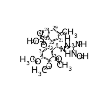 COc1ccc(C=NNC(=N)NO)c(OC)c1OC.Cc1ccc(S(=O)(=O)O)cc1